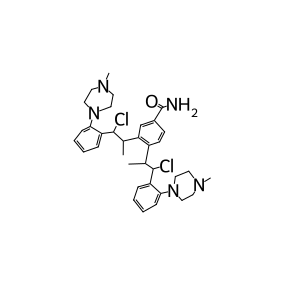 CC(c1ccc(C(N)=O)cc1C(C)C(Cl)c1ccccc1N1CCN(C)CC1)C(Cl)c1ccccc1N1CCN(C)CC1